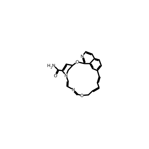 NC(=O)C1=CC2CN1/C=C/N=C/OC/C=C/C=C/c1ccc3ccnc(c3c1)O2